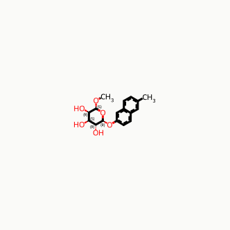 CO[C@H]1O[C@@H](Oc2ccc3cc(C)ccc3c2)[C@H](O)[C@@H](O)[C@H]1O